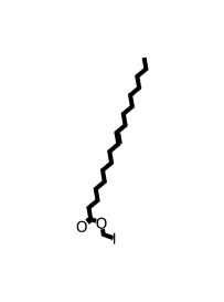 CCCCCCCCC=CCCCCCCCC(=O)OCI